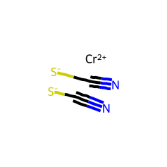 N#C[S-].N#C[S-].[Cr+2]